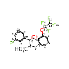 O=C(O)C(Cc1cccc(OC(F)(F)C(F)F)c1)C(O)c1cccc(F)c1